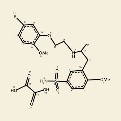 COc1ccc(S(N)(=O)=O)cc1CC(C)NCCOc1cc(F)ccc1OC.O=C(O)C(=O)O